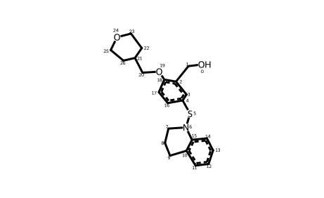 OCc1cc(SN2CCCc3ccccc32)ccc1OCC1CCOCC1